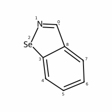 [c]1n[se]c2ccccc12